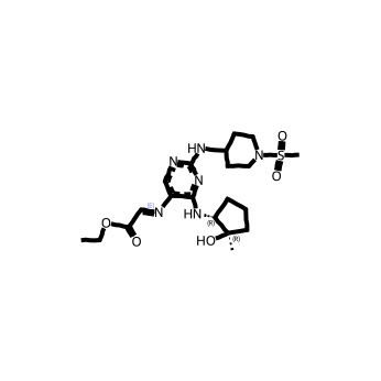 CCOC(=O)/C=N/c1cnc(NC2CCN(S(C)(=O)=O)CC2)nc1N[C@@H]1CCC[C@@]1(C)O